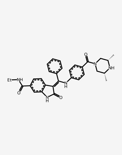 CCNC(=O)c1ccc2c(c1)NC(=O)/C2=C(\Nc1ccc(C(=O)N2C[C@@H](C)N[C@@H](C)C2)cc1)c1ccccc1